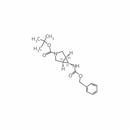 CC(C)(C)OC(=O)N1C[C@@H]2[C@H](C1)[C@H]2NC(=O)OCc1ccccc1